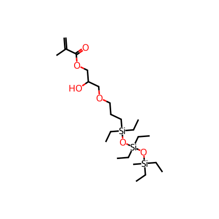 C=C(C)C(=O)OCC(O)COCCC[Si](CC)(CC)O[Si](CC)(CC)O[Si](C)(CC)CC